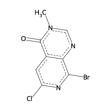 Cn1cnc2c(Br)nc(Cl)cc2c1=O